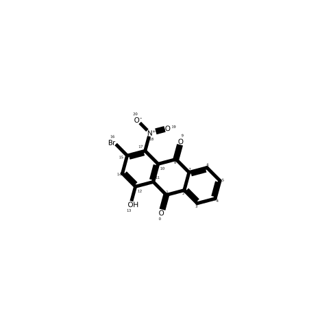 O=C1c2ccccc2C(=O)c2c1c(O)cc(Br)c2[N+](=O)[O-]